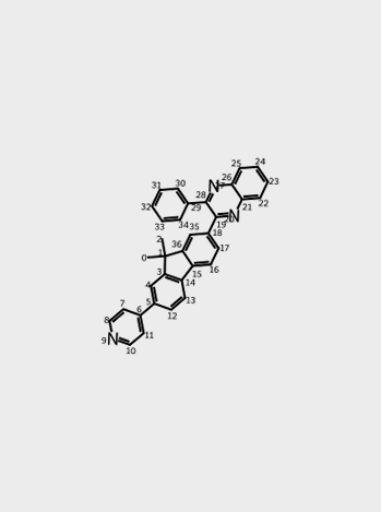 CC1(C)c2cc(-c3ccncc3)ccc2-c2ccc(-c3nc4ccccc4nc3-c3ccccc3)cc21